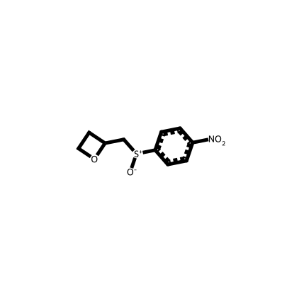 O=[N+]([O-])c1ccc([S+]([O-])CC2CCO2)cc1